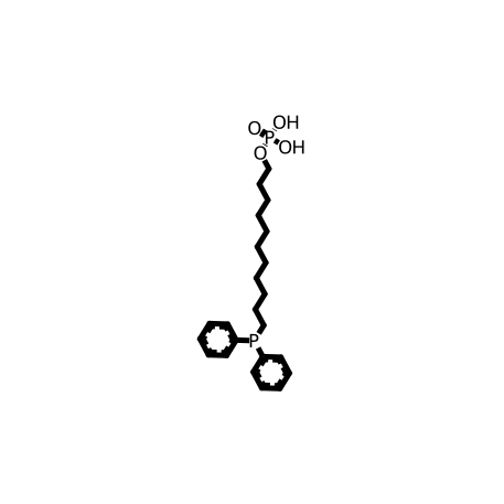 O=P(O)(O)OCCCCCCCCCCCP(c1ccccc1)c1ccccc1